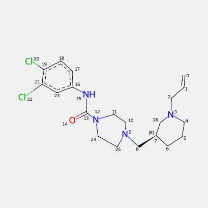 C=CCN1CCC[C@@H](CN2CCN(C(=O)Nc3ccc(Cl)c(Cl)c3)CC2)C1